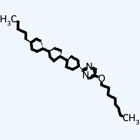 CCCCCCCCOc1cnc([C@H]2CC[C@H]([C@H]3CC[C@H]([C@H]4CC[C@H](CCCCC)CC4)CC3)CC2)nc1